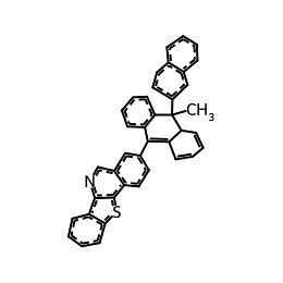 CC1(c2ccc3ccccc3c2)c2ccccc2C(c2ccc3c(cnc4c5ccccc5sc34)c2)=C2C=CC=CC21